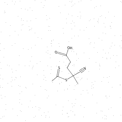 CC(=S)SC(C)(C#N)CCC(=O)O